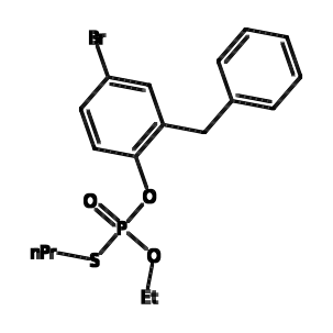 CCCSP(=O)(OCC)Oc1ccc(Br)cc1Cc1ccccc1